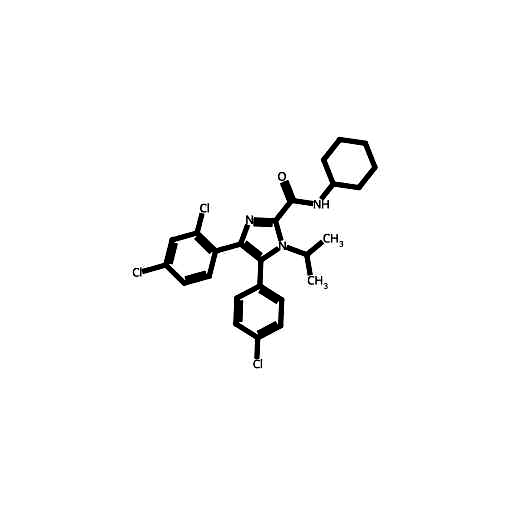 CC(C)n1c(C(=O)NC2CCCCC2)nc(-c2ccc(Cl)cc2Cl)c1-c1ccc(Cl)cc1